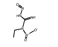 CCN(C(=N)NN=O)[N+](=O)[O-]